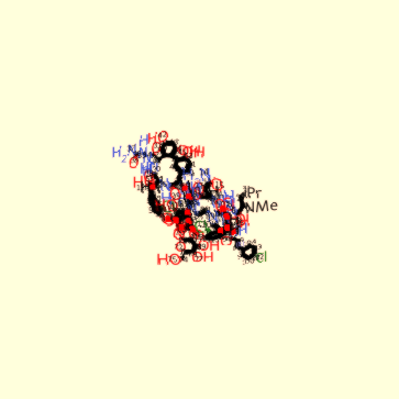 CN[C@H](CC(C)C)C(=O)N[C@H]1C(=O)N[C@@H](CC(N)=O)C(=O)N[C@H]2C(=O)N[C@H]3C(=O)N[C@H](C(=O)N[C@@H](C(=O)NNC(N)=O)c4cc(O)cc(O)c4-c4cc3ccc4O)[C@H](O)c3ccc(c(Cl)c3)Oc3cc2cc(c3O[C@@H]2O[C@H](CO)[C@@H](O)[C@H](O)[C@H]2O[C@H]2C[C@](C)(NCCn3ccc(NC(=O)/C=C/c4ccc(Cl)cc4)nc3=O)[C@H](O)[C@H](C)O2)Oc2ccc(cc2Cl)[C@H]1O